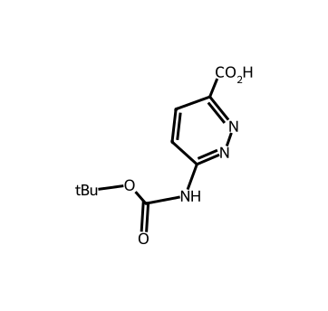 CC(C)(C)OC(=O)Nc1ccc(C(=O)O)nn1